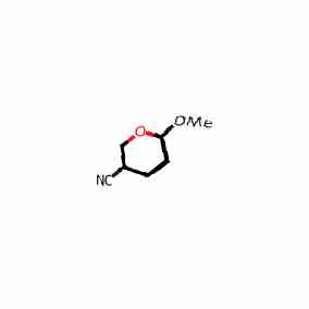 COC1CCC(C#N)CO1